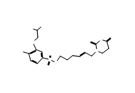 CC(C)COc1cc(S(=O)(=O)NCCC/C=C/CN2CCC(=O)NC2=O)ccc1F